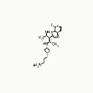 CC(=N)/C(=C(/C)NC1CC(CCCN)C1)c1cnc2cccc(F)c2n1